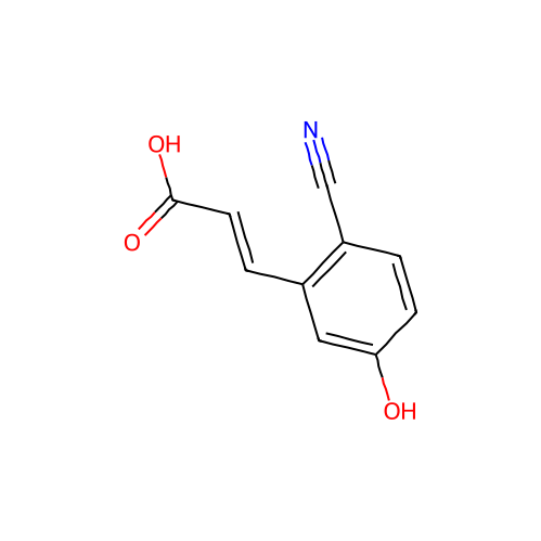 N#Cc1ccc(O)cc1/C=C/C(=O)O